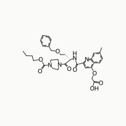 CCCCOC(=O)N1CCN(C(=O)[C@H](CCOCc2ccccc2)NC(=O)c2cc(OCC(=O)O)c3ccc(C)cc3n2)CC1